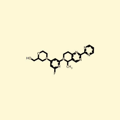 CC1c2cnc(-c3ncccn3)nc2CCN1c1cc(N2CCOC(CO)C2)cc(F)n1